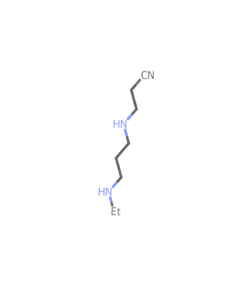 CCNCCCNCCC#N